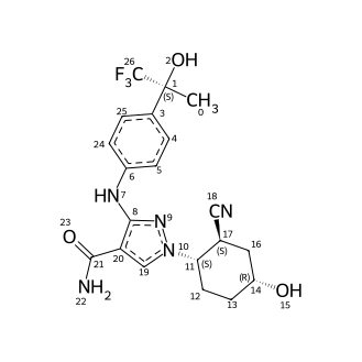 C[C@](O)(c1ccc(Nc2nn([C@H]3CC[C@@H](O)C[C@@H]3C#N)cc2C(N)=O)cc1)C(F)(F)F